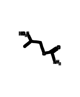 CC(COC(N)=O)S(=O)(=O)O